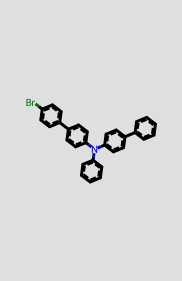 Brc1ccc(-c2ccc(N(c3ccccc3)c3ccc(-c4ccccc4)cc3)cc2)cc1